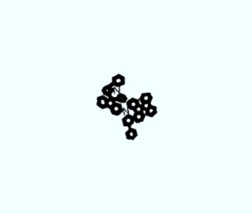 c1ccc(-c2ccc(N(c3ccc4c(c3)C3(c5ccccc5-4)c4ccccc4-n4c5ccccc5c5cccc3c54)c3cccc4c3-c3ccccc3C43c4ccccc4-c4ccccc43)cc2)cc1